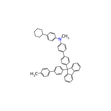 Cc1ccc(-c2ccc(C3(c4ccc(-c5ccc(N(C)c6ccc(C7CCCCC7)cc6)cc5)cc4)c4ccccc4-c4ccccc43)cc2)cc1